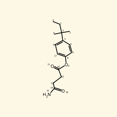 CCC(C)(C)c1ccc(OC(=O)CCC(N)=O)cc1